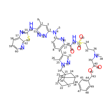 Cc1cc(N(C)c2ccc(-c3cnn(CC45CC6CC(CC(C6)C4)C5)c3C)c(C(=O)NS(=O)(=O)CCCN(C)CC(=O)OCc3ccccc3)n2)nnc1Nc1nc2cccnc2s1